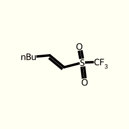 CCCC/C=C/S(=O)(=O)C(F)(F)F